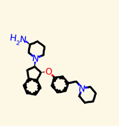 N[C@H]1CCCN([C@@H]2Cc3ccccc3[C@H]2Oc2cccc(CN3CCCCC3)c2)C1